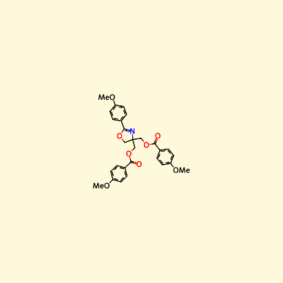 COc1ccc(C(=O)OCC2(COC(=O)c3ccc(OC)cc3)COC(c3ccc(OC)cc3)=N2)cc1